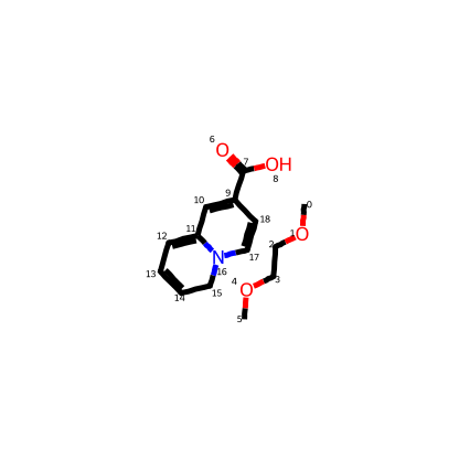 COCCOC.O=C(O)C1=CC2=CC=CCN2C=C1